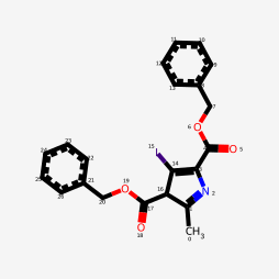 CC1=NC(C(=O)OCc2ccccc2)=C(I)C1C(=O)OCc1ccccc1